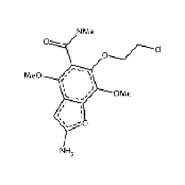 CNC(=O)c1c(OCCCl)c(OC)c2oc(N)cc2c1OC